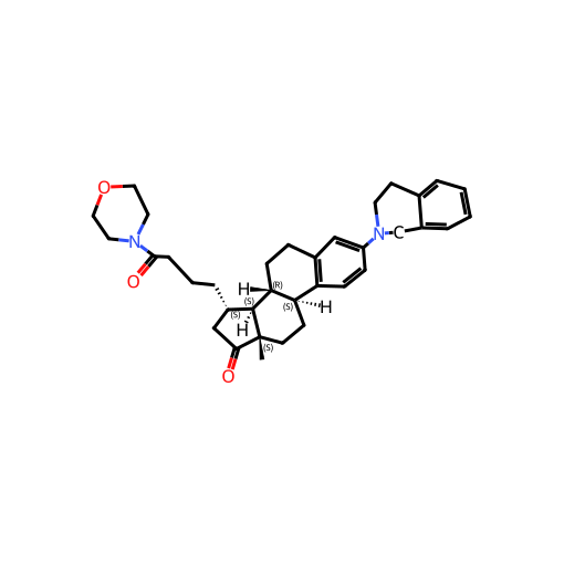 C[C@]12CC[C@@H]3c4ccc(N5CCc6ccccc6C5)cc4CC[C@H]3[C@@H]1[C@@H](CCCC(=O)N1CCOCC1)CC2=O